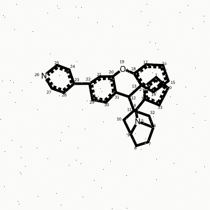 c1csc(CN2C3CCC2CC(C2c4ccccc4Oc4cc(-c5ccncc5)ccc42)C3)c1